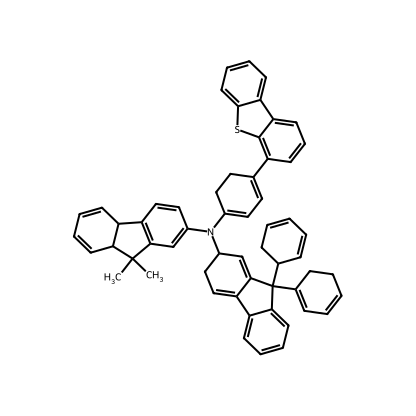 CC1(C)c2cc(N(C3=CC=C(c4cccc5c4sc4ccccc45)CC3)C3C=C4C(=CC3)c3ccccc3C4(C3=CC=CCC3)C3C=CC=CC3)ccc2C2C=CC=CC21